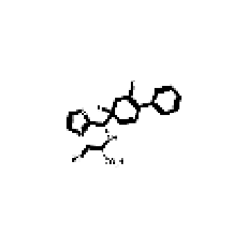 CC(C)C[C@H](N[C@H](c1nccs1)C1(F)C=CC(c2ccccc2)=C(F)C1)C(=O)O